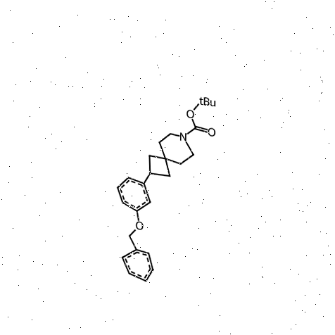 CC(C)(C)OC(=O)N1CCC2(CC1)CC(c1cccc(OCc3ccccc3)c1)C2